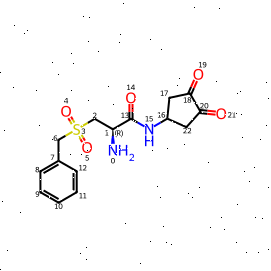 N[C@@H](CS(=O)(=O)Cc1ccccc1)C(=O)NC1CC(=O)C(=O)C1